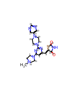 CN1CCN(c2cc(/C=C3\SC(=O)NC3=O)nc(N3CCN(c4cncnc4)CC3)n2)CC1